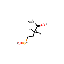 COC(=O)C(C)(C)CCP=O